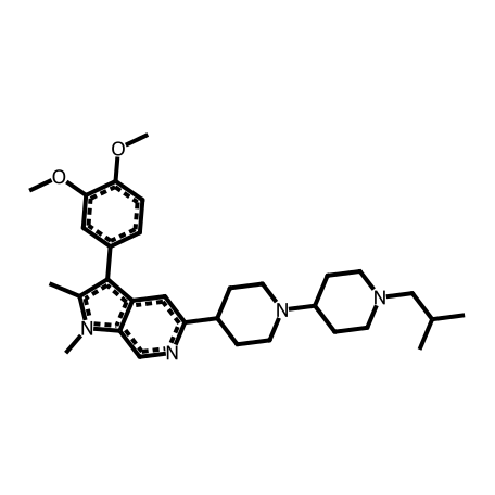 COc1ccc(-c2c(C)n(C)c3cnc(C4CCN(C5CCN(CC(C)C)CC5)CC4)cc23)cc1OC